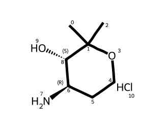 CC1(C)OCC[C@@H](N)[C@@H]1O.Cl